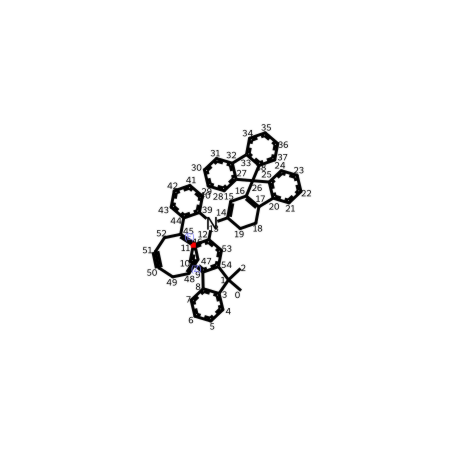 CC1(C)c2ccccc2-c2ccc(N(C3=CC4=C(CC3)c3ccccc3C43c4ccccc4-c4ccccc43)c3ccccc3/C3=C/C=C\CC#CC3)cc21